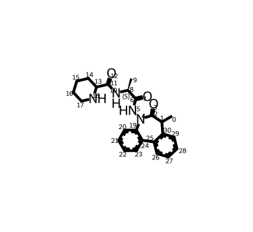 CC1C(=O)N(NC(=O)[C@H](C)NC(=O)C2CCCCN2)c2ccccc2-c2ccccc21